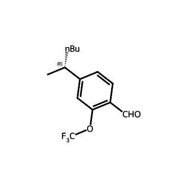 CCCC[C@@H](C)c1ccc(C=O)c(OC(F)(F)F)c1